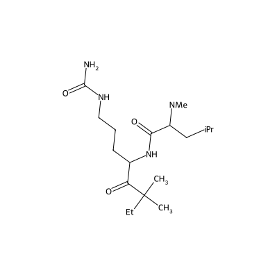 CCC(C)(C)C(=O)C(CCCNC(N)=O)NC(=O)C(CC(C)C)NC